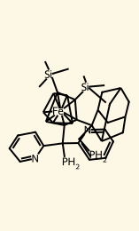 C[Si](C)(C)[C]12[CH]3[C]4(C(P)(c5ccccn5)c5ccccn5)[C]5(C6(CP)C7CC8CC(C7)CC6C8)[C]1([Si](C)(C)C)[Fe]34521678[CH]2[CH]1[CH]6[CH]7[CH]28